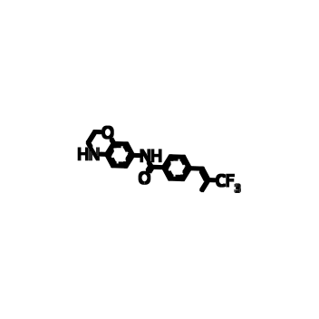 C/C(=C\c1ccc(C(=O)Nc2ccc3c(c2)OCCN3)cc1)C(F)(F)F